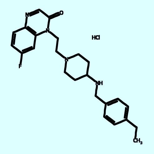 CCc1ccc(CNC2CCN(CCn3c(=O)cnc4ccc(F)cc43)CC2)cc1.Cl